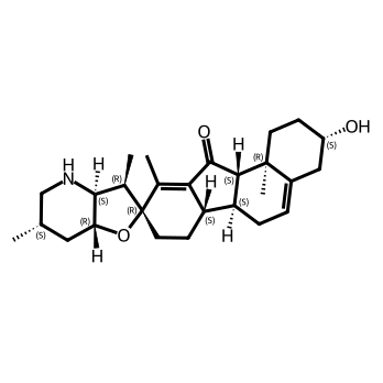 CC1=C2C(=O)[C@H]3[C@@H](CC=C4C[C@@H](O)CC[C@@]43C)[C@@H]2CC[C@]12O[C@@H]1C[C@H](C)CN[C@H]1[C@H]2C